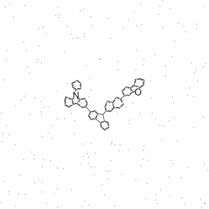 c1ccc(-n2c3ccccc3c3cc(-c4ccc5c(c4)C(c4ccc6cc(-c7ccc8c(c7)oc7ccccc78)ccc6c4)c4ccccc4-5)ccc32)cc1